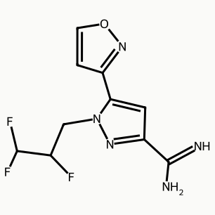 N=C(N)c1cc(-c2ccon2)n(CC(F)C(F)F)n1